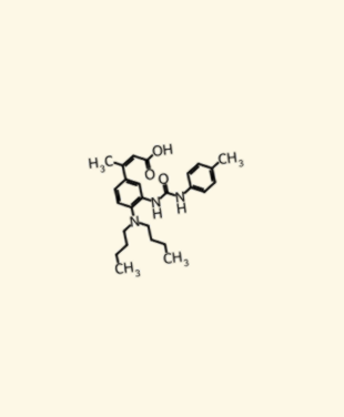 CCCCN(CCCC)c1ccc(/C(C)=C\C(=O)O)cc1NC(=O)Nc1ccc(C)cc1